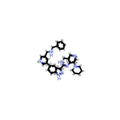 c1ccc(CNCc2cncc(-c3ccc4[nH]nc(C5=Nc6c(cncc6N6CCCCC6)CN5)c4c3)c2)cc1